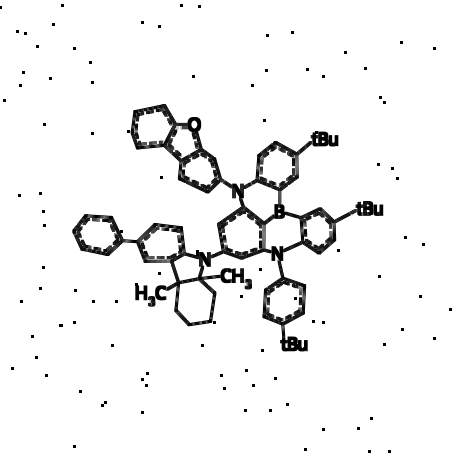 CC(C)(C)c1ccc(N2c3ccc(C(C)(C)C)cc3B3c4cc(C(C)(C)C)ccc4N(c4ccc5c(c4)oc4ccccc45)c4cc(N5c6ccc(-c7ccccc7)cc6C6(C)CCCCC56C)cc2c43)cc1